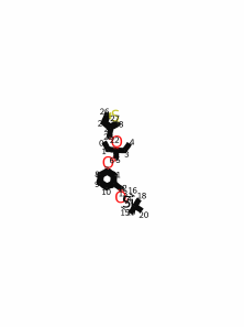 CCC(CC)(COc1cccc(CO[Si](C)(C)C(C)(C)C)c1)OCc1ccsc1